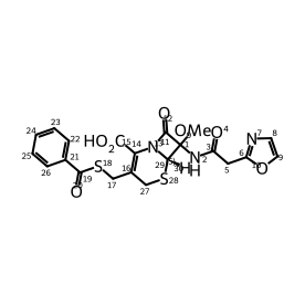 COC1(NC(=O)Cc2ncco2)C(=O)N2C(C(=O)O)=C(CSC(=O)c3ccccc3)CS[C@H]21